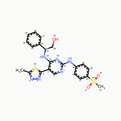 Cc1nnc(-c2cnc(Nc3ccc(S(C)(=O)=O)cc3)nc2N[C@H](CO)c2ccccc2)s1